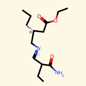 CCC[C@@H](C/N=C/C(CC)C(N)=O)CC(=O)OCC